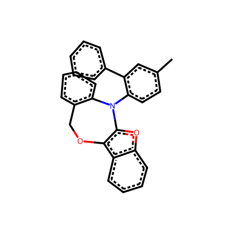 Cc1ccc(N2c3ccccc3COc3c2oc2ccccc32)c(-c2ccccc2)c1